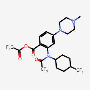 CN1CCN(c2ccc(C(=O)OC(=O)C(F)(F)F)c(N(C(=O)C(F)(F)F)C3CCC(C(F)(F)F)CC3)c2)CC1